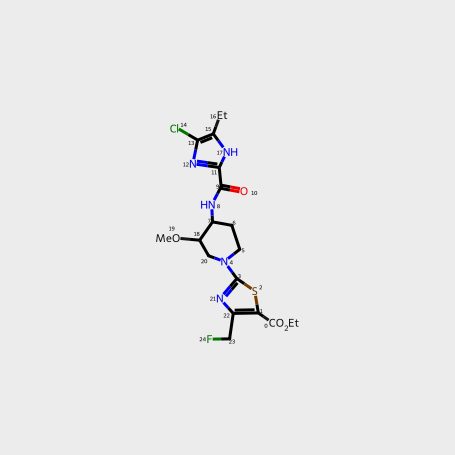 CCOC(=O)c1sc(N2CCC(NC(=O)c3nc(Cl)c(CC)[nH]3)C(OC)C2)nc1CF